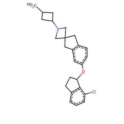 O=C(O)C1CC(N2CC3(Cc4ccc(OC5CCc6cccc(Cl)c65)cc4C3)C2)C1